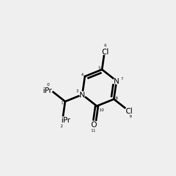 CC(C)C(C(C)C)n1cc(Cl)nc(Cl)c1=O